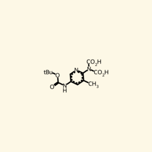 Cc1cc(NC(=O)OC(C)(C)C)cnc1N(C(=O)O)C(=O)O